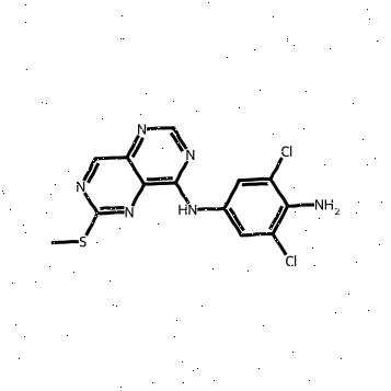 CSc1ncc2ncnc(Nc3cc(Cl)c(N)c(Cl)c3)c2n1